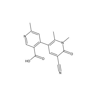 Cc1cc(-c2cc(C#N)c(=O)n(C)c2C)c(C(=O)O)cn1